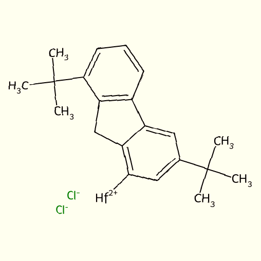 CC(C)(C)c1c[c]([Hf+2])c2c(c1)-c1cccc(C(C)(C)C)c1C2.[Cl-].[Cl-]